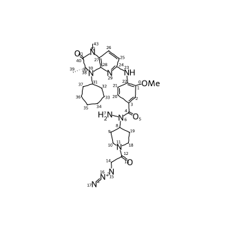 COc1cc(C(=O)N(N)C2CCN(C(=O)CN=[N+]=[N-])CC2)ccc1Nc1ccc2c(n1)N(C1CCCCCC1)[C@H](C)C(=O)N2C